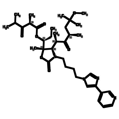 CC[C@@H](OC(=O)[C@H](C)C(=O)C(C)C)[C@@]1(C)OC(=O)N(CCCCn2cnc(-c3cccnc3)c2)[C@@H]1[C@@H](C)C(=O)[C@H](C)CC(C)(C)OC